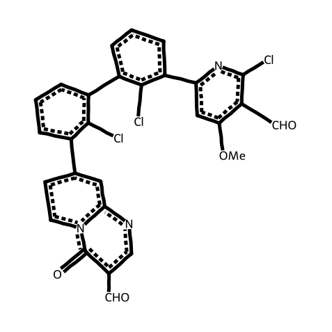 COc1cc(-c2cccc(-c3cccc(-c4ccn5c(=O)c(C=O)cnc5c4)c3Cl)c2Cl)nc(Cl)c1C=O